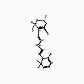 CC1=CC=CC(C)(C)[C@H]1C=CPC=CC1=C(C)C[C@@H](C)CC1(C)C